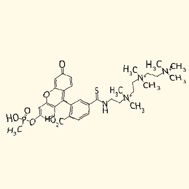 C[N+](C)(C)CC[N+](C)(C)CC[N+](C)(C)CCNC(=S)c1ccc(C(=O)O)c(-c2c3ccc(=O)cc-3oc3cc(OP(C)(=O)O)ccc23)c1